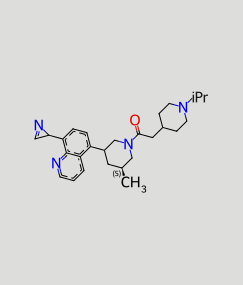 CC(C)N1CCC(CC(=O)N2CC(c3ccc(C4C=N4)c4ncccc34)C[C@H](C)C2)CC1